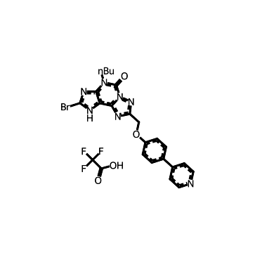 CCCCn1c(=O)n2nc(COc3ccc(-c4ccncc4)cc3)nc2c2[nH]c(Br)nc21.O=C(O)C(F)(F)F